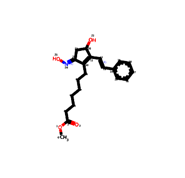 COC(=O)CCCCCCC1=C(/C=C/c2ccccc2)C(O)C/C1=N\O